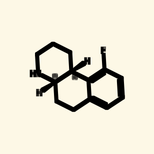 Fc1cccc2c1[C@H]1CCCN[C@H]1CC2